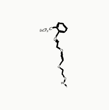 CCOC(=O)c1ccccc1OCCOCCOCCOPI